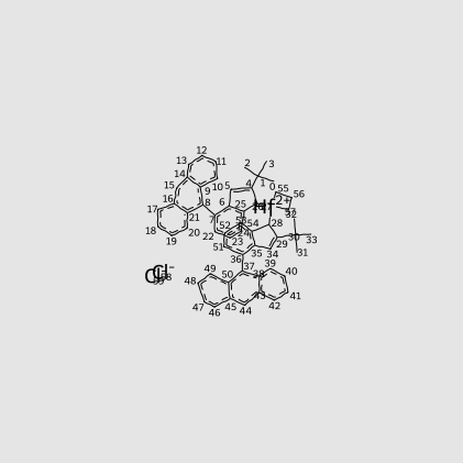 CC(C)(C)C1=Cc2c(-c3c4ccccc4cc4ccccc34)cccc2[CH]1[Hf+2]1([CH]2C(C(C)(C)C)=Cc3c(-c4c5ccccc5cc5ccccc45)cccc32)[CH2]C[CH2]1.[Cl-].[Cl-]